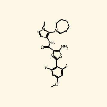 COc1cc(F)c(-c2nc(C(=O)Nc3cnn(C)c3N3CCCCCC3)c(N)s2)c(F)c1